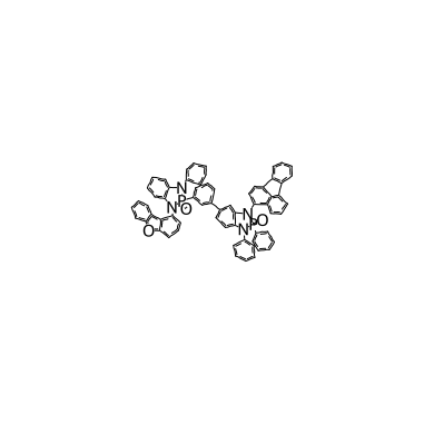 O=P1(c2ccccc2)N(c2ccccc2)c2ccc(-c3cccc(P4(=O)N(c5ccccc5)c5ccccc5N4c4cccc5oc6ccccc6c45)c3)cc2N1c1ccc2c3c(cccc13)-c1ccccc1-2